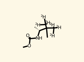 [2H]C([2H])([2H])C(C)([C@@H](C)NC(=O)OC)C([2H])([2H])[2H]